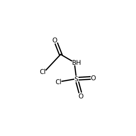 O=C(Cl)BS(=O)(=O)Cl